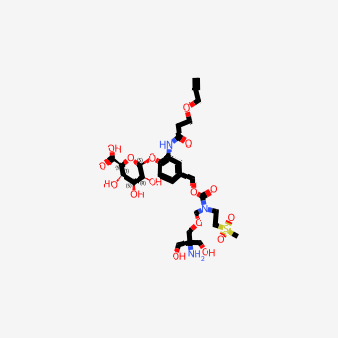 C#CCOCCC(=O)Nc1cc(COC(=O)N(CCS(C)(=O)=O)COCC(N)(CO)CO)ccc1O[C@@H]1O[C@H](C(=O)O)[C@@H](O)[C@H](O)[C@H]1O